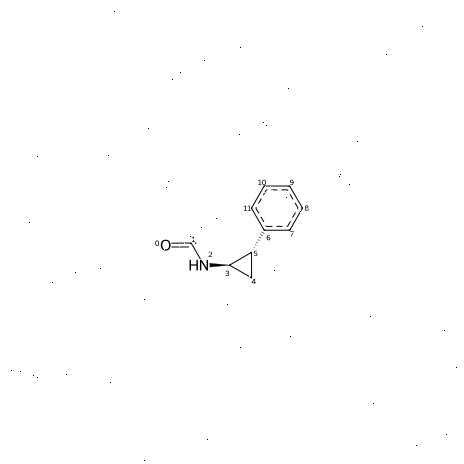 O=[C]N[C@@H]1C[C@H]1c1ccccc1